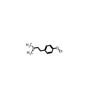 CCOc1ccc([CH]CN(C)C)cc1